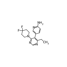 CCc1ncnc(N2CCC(F)(F)CC2)c1-c1ccc(N)nc1